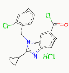 Cl.O=C(Cl)c1ccc2nc(C3CC3)n(Cc3ccccc3Cl)c2c1